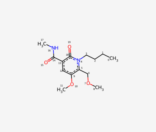 CCCCn1c(COC)c(OC)cc(C(=O)NC)c1=O